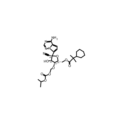 CC(C)OC(=O)OCO[C@H]1[C@@H](O)[C@](C#N)(c2ccc3c(N)ncnn23)O[C@@H]1COC(=O)C(C)(C)C1CCCCC1